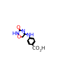 O=C1N=C(Nc2ccc(C(=O)O)cc2)CON1